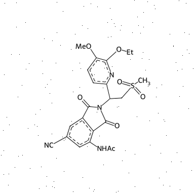 CCOc1nc(C(CS(C)(=O)=O)N2C(=O)c3cc(C#N)cc(NC(C)=O)c3C2=O)ccc1OC